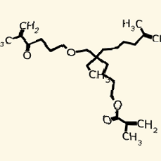 C=C(C)CCCCC(CC)(CCCCOC(=O)C(=C)C)COCCCC(=O)C(=C)C